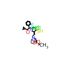 CCOC(=O)CN(CC)C/C=C1\CN(C(C(=O)C2CC2)c2ccccc2F)CCC1S.Cl.Cl